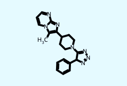 Cc1c(C2CCN(C3=NN=NC3c3ccccc3)CC2)nc2ncccn12